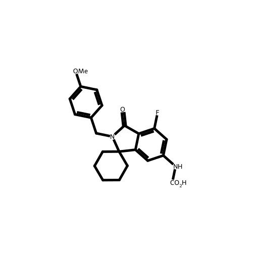 COc1ccc(CN2C(=O)c3c(F)cc(NC(=O)O)cc3C23CCCCC3)cc1